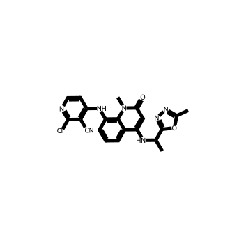 Cc1nnc(C(C)Nc2cc(=O)n(C)c3c(Nc4ccnc(Cl)c4C#N)cccc23)o1